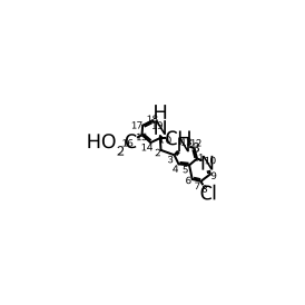 CC1(Cc2cc3cc(Cl)cnc3cn2)C=C(C(=O)O)C=CN1